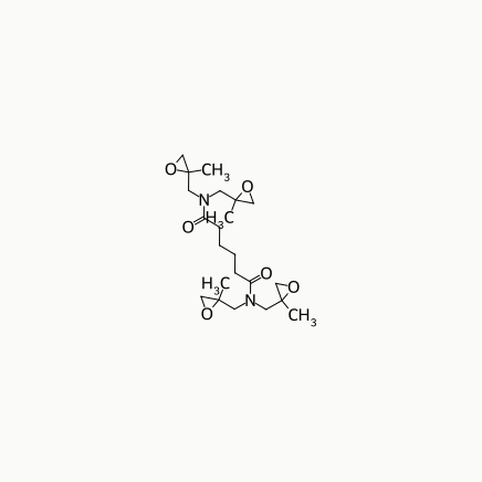 CC1(CN(CC2(C)CO2)C(=O)CCCCC(=O)N(CC2(C)CO2)CC2(C)CO2)CO1